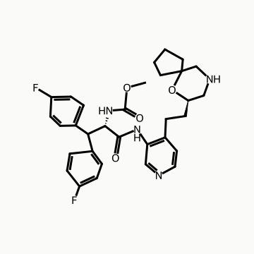 COC(=O)N[C@H](C(=O)Nc1cnccc1CC[C@@H]1CNCC2(CCCC2)O1)C(c1ccc(F)cc1)c1ccc(F)cc1